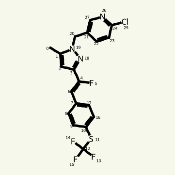 Cc1cc(C(F)=Cc2ccc(SC(F)(F)F)cc2)nn1Cc1ccc(Cl)nc1